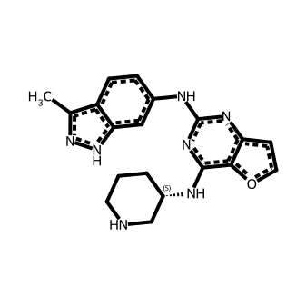 Cc1n[nH]c2cc(Nc3nc(N[C@H]4CCCNC4)c4occc4n3)ccc12